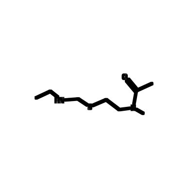 CCNCSCCN(C)C(C)=O